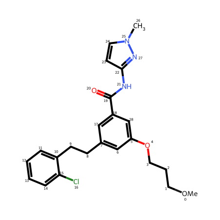 COCCCOc1cc(CCc2ccccc2Cl)cc(C(=O)Nc2ccn(C)n2)c1